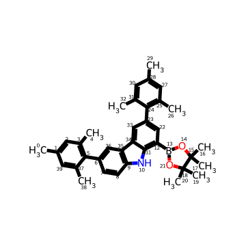 Cc1cc(C)c(-c2ccc3[nH]c4c(B5OC(C)(C)C(C)(C)O5)cc(-c5c(C)cc(C)cc5C)cc4c3c2)c(C)c1